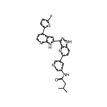 CC(C)CC(=O)Nc1cncc(-c2ccc3[nH]nc(-c4cc5c(-c6ccc(F)s6)ccnc5[nH]4)c3n2)c1